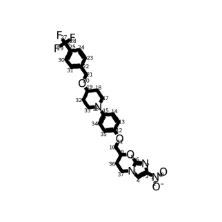 O=[N+]([O-])c1cn2c(n1)OC(COc1ccc(N3CCC(OCc4ccc(C(F)(F)F)cc4)CC3)cc1)CC2